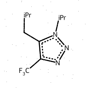 CC(C)Cc1c(C(F)(F)F)nnn1C(C)C